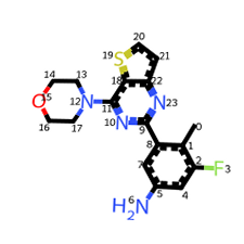 Cc1c(F)cc(N)cc1-c1nc(N2CCOCC2)c2sccc2n1